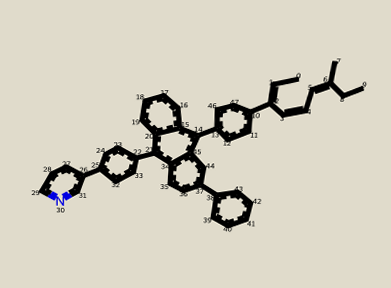 C\C=C(/C=C\C=C(\C)CC)c1ccc(-c2c3ccccc3c(-c3ccc(-c4cccnc4)cc3)c3ccc(-c4ccccc4)cc23)cc1